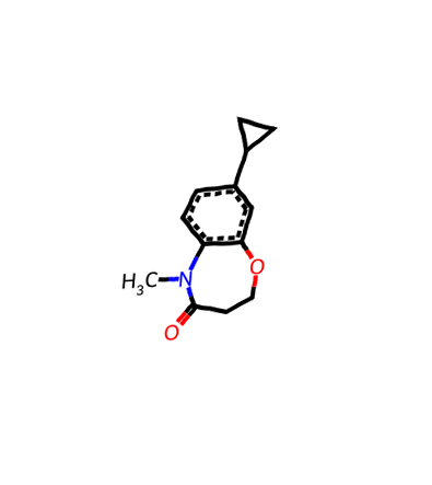 CN1C(=O)CCOc2cc(C3CC3)ccc21